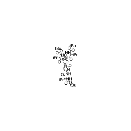 CC(C)[C@H](NC(=O)OC(C)(C)C)C(=O)Nc1ccn([C@H]2C[C@@](O)(C(=O)[C@@H](NC(=O)OC(C)(C)C)C(C)C)[C@@H](C(O)C(=O)[C@@H](NC(=O)OC(C)(C)C)C(C)C)O2)c(=O)n1